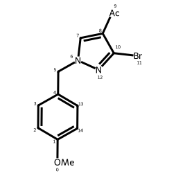 COc1ccc(Cn2cc(C(C)=O)c(Br)n2)cc1